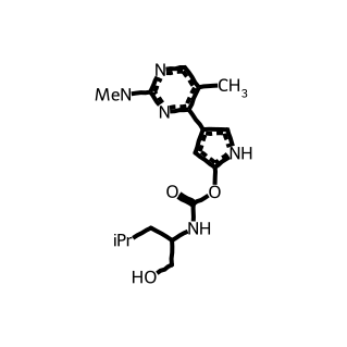 CNc1ncc(C)c(-c2c[nH]c(OC(=O)NC(CO)CC(C)C)c2)n1